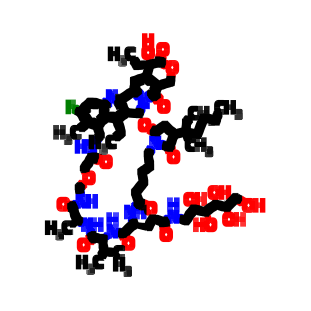 CCCCC(C)(CC)C1CC(=O)N(CCCCCC(=O)N[C@@H](CCC(=O)NC[C@H](O)[C@@H](O)[C@H](O)[C@H](O)CO)C(=O)N[C@H](C(=O)N[C@@H](C)C(=O)NCOCC(=O)NCc2c(C)c(F)cc3nc4c(c(CC)c23)Cn2c-4cc3c(c2=O)COC(=O)[C@]3(O)CC)C(C)C)C1=O